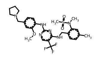 COc1cc(CN2CCCC2)ccc1Nc1ncc(C(F)(F)F)c(NCc2ccc(C)cc2N(C)S(C)(=O)=O)n1